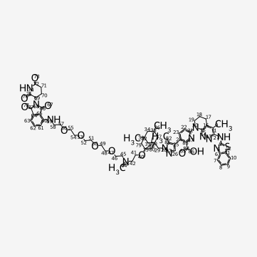 Cc1c(Nc2nc3ccccc3s2)nnc2c1CCCN2c1ccc(-c2cnn(CC34CC5(C)CC(C)(C3)CC(OCCN(C)CCOCCOCCOCCOCCNc3cccc6c3C(=O)N(C3CCC(=O)NC3=O)C6=O)(C5)C4)c2C)c(C(=O)O)n1